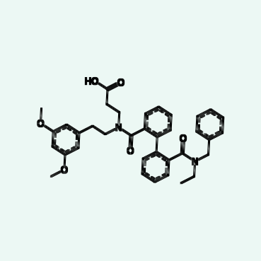 CCN(Cc1ccccc1)C(=O)c1ccccc1-c1ccccc1C(=O)N(CCC(=O)O)CCc1cc(OC)cc(OC)c1